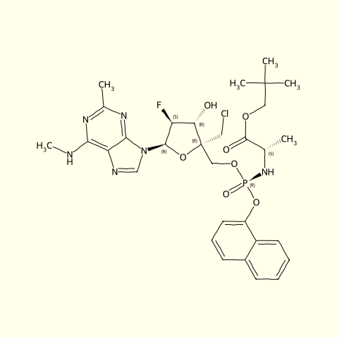 CNc1nc(C)nc2c1ncn2[C@@H]1O[C@](CCl)(CO[P@](=O)(N[C@@H](C)C(=O)OCC(C)(C)C)Oc2cccc3ccccc23)[C@@H](O)[C@@H]1F